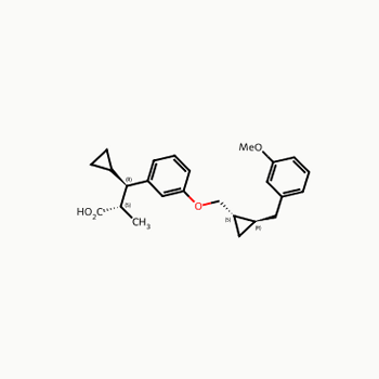 COc1cccc(C[C@H]2C[C@@H]2COc2cccc([C@H](C3CC3)[C@H](C)C(=O)O)c2)c1